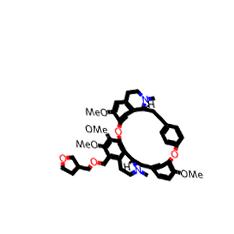 COc1ccc2cc1Oc1ccc(cc1)C[C@H]1c3cc(c(OC)cc3CCN1C)Oc1c(OC)c(OC)c(COCC3CCOC3)c3c1[C@H](C2)N(C)CC3